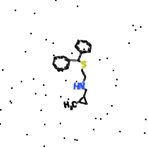 CC1CC1CNCCSC(c1ccccc1)c1ccccc1